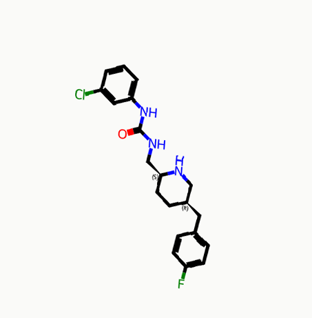 O=C(NC[C@@H]1CC[C@H](Cc2ccc(F)cc2)CN1)Nc1cccc(Cl)c1